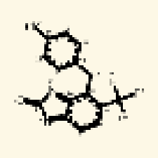 O=C1N=c2ccc(C(F)(F)F)c(Cc3ccc(Cl)cc3)c2=N1